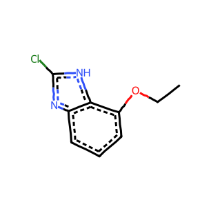 CCOc1cccc2nc(Cl)[nH]c12